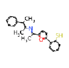 C/C(=N\C(C)=C(/C)c1ccccc1)c1ccc(-c2ccccc2S)o1